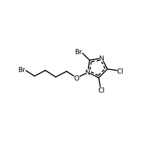 Clc1nc(Br)n(OCCCCBr)c1Cl